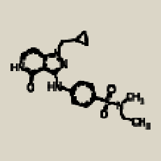 CCN(C)S(=O)(=O)c1ccc(Nc2nn(CC3CC3)c3cc[nH]c(=O)c23)cc1